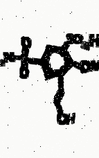 COc1c(CCO)cc(S(N)(=O)=O)cc1S(=O)(=O)O